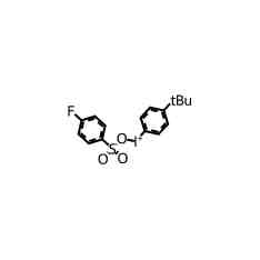 CC(C)(C)c1ccc([I+]OS(=O)(=O)c2ccc(F)cc2)cc1